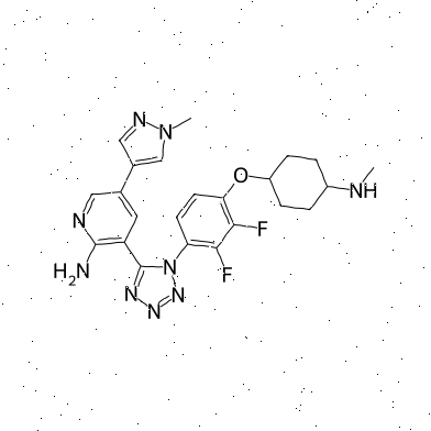 CNC1CCC(Oc2ccc(-n3nnnc3-c3cc(-c4cnn(C)c4)cnc3N)c(F)c2F)CC1